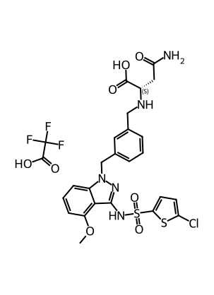 COc1cccc2c1c(NS(=O)(=O)c1ccc(Cl)s1)nn2Cc1cccc(CN[C@@H](CC(N)=O)C(=O)O)c1.O=C(O)C(F)(F)F